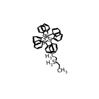 CC[SiH2]CC.c1ccc([Si]2(c3ccccc3)[Si](c3ccccc3)(c3ccccc3)[Si](c3ccccc3)(c3ccccc3)[Si]2(c2ccccc2)c2ccccc2)cc1